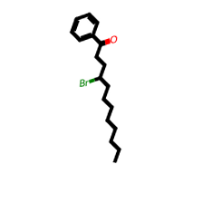 CCCCCCCCC(Br)CCC(=O)c1ccccc1